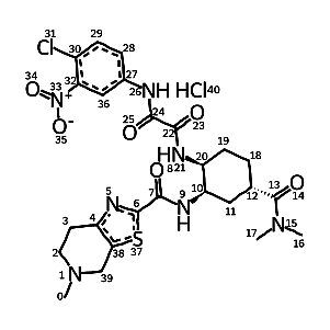 CN1CCc2nc(C(=O)N[C@@H]3C[C@@H](C(=O)N(C)C)CC[C@@H]3NC(=O)C(=O)Nc3ccc(Cl)c([N+](=O)[O-])c3)sc2C1.Cl